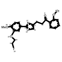 CCOc1ccccc1C(=O)CCc1coc(-c2ccc(OC)c(OCCF)c2)n1